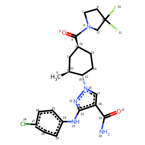 C[C@H]1C[C@@H](C(=O)N2CCC(F)(F)C2)CC[C@@H]1n1cc(C(N)=O)c(Nc2ccc(Cl)cc2)n1